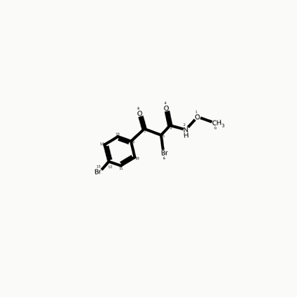 CONC(=O)C(Br)C(=O)c1ccc(Br)cc1